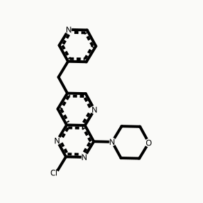 Clc1nc(N2CCOCC2)c2ncc(Cc3cccnc3)cc2n1